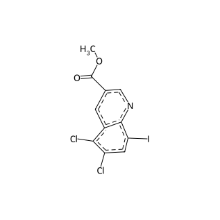 COC(=O)c1cnc2c(I)cc(Cl)c(Cl)c2c1